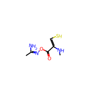 CN/C(=C\S)C(=O)O/N=C(/C)N